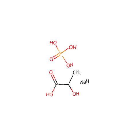 CC(O)C(=O)O.O=P(O)(O)O.[NaH]